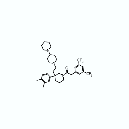 Cc1ccc(C2(CCN3CCC(N4CCCCC4)CC3)CCCN(C(=O)Cc3cc(C(F)(F)F)cc(C(F)(F)F)c3)C2)cc1C